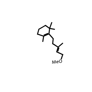 COC/C=C(\C)CCC1=C(C)CCCC1(C)C